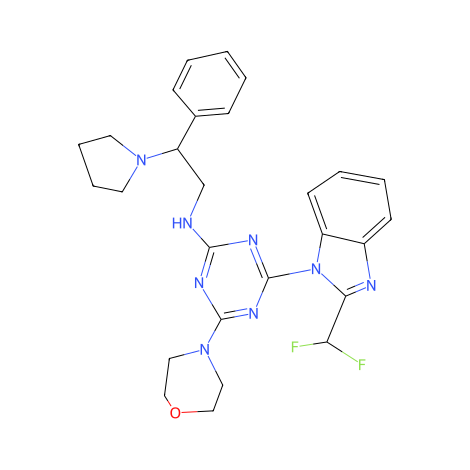 FC(F)c1nc2ccccc2n1-c1nc(NCC(c2ccccc2)N2CCCC2)nc(N2CCOCC2)n1